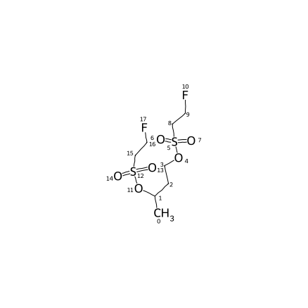 CC(CCOS(=O)(=O)CCF)OS(=O)(=O)CCF